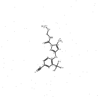 COCNC(=S)n1nc(Oc2ccc(C#N)cc2C(F)(F)F)cc1C